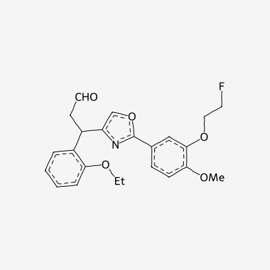 CCOc1ccccc1C(CC=O)c1coc(-c2ccc(OC)c(OCCF)c2)n1